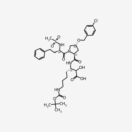 CC(C)(C)OC(=O)NCCCC[C@H](NC(=O)[C@@H]1C[C@@H](OCc2ccc(Cl)cc2)CN1C(=O)[C@@H](CCc1ccccc1)NS(C)(=O)=O)C(O)C(=O)O